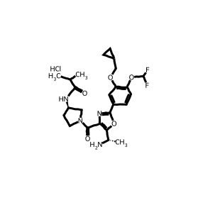 CC(C)C(=O)N[C@@H]1CCN(C(=O)c2nc(-c3ccc(OC(F)F)c(OCC4CC4)c3)oc2[C@H](C)N)C1.Cl